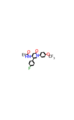 CCC(=O)Nc1cc(=O)n(-c2ccc(OC(F)(F)F)cc2)cc1-c1ccc(F)cc1